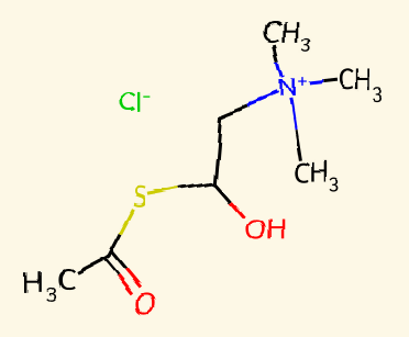 CC(=O)SC(O)C[N+](C)(C)C.[Cl-]